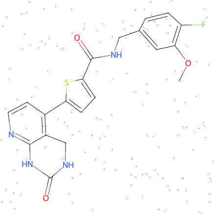 COc1cc(CNC(=O)c2ccc(-c3ccnc4c3CNC(=O)N4)s2)ccc1F